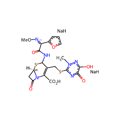 CO/N=C(\C(=O)NC1S[C@@H]2CC(=O)N2C(C(=O)O)=C1CSc1nc(=O)c(O)nn1C)c1ccco1.[NaH].[NaH]